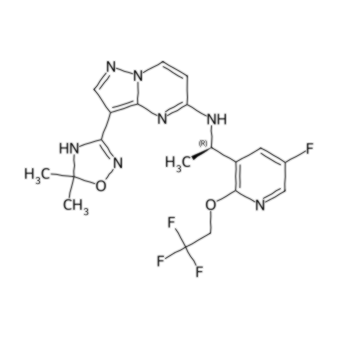 C[C@@H](Nc1ccn2ncc(C3=NOC(C)(C)N3)c2n1)c1cc(F)cnc1OCC(F)(F)F